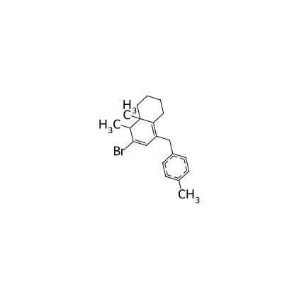 Cc1ccc(CC2=C3CCCCC3(C)C(C)C(Br)=C2)cc1